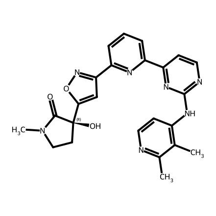 Cc1nccc(Nc2nccc(-c3cccc(-c4cc([C@]5(O)CCN(C)C5=O)on4)n3)n2)c1C